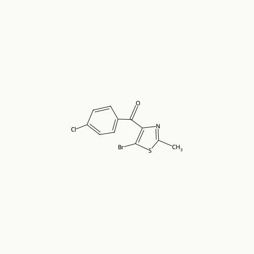 Cc1nc(C(=O)c2ccc(Cl)cc2)c(Br)s1